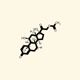 CC(=O)OCC(=O)[C@@]1(O)CC[C@H]2[C@H]3[C@H]([C@@H](O)C[C@@]21C)[C@@]1(C)C=CC(=O)C=C1C[C@H]3F